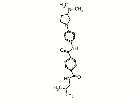 CC(C)CNC(=O)c1ccc(C(=O)Nc2ccc(N3CCC(N(C)C)C3)cc2)cc1